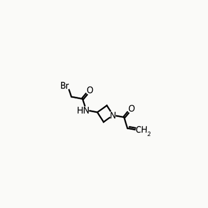 C=CC(=O)N1CC(NC(=O)CBr)C1